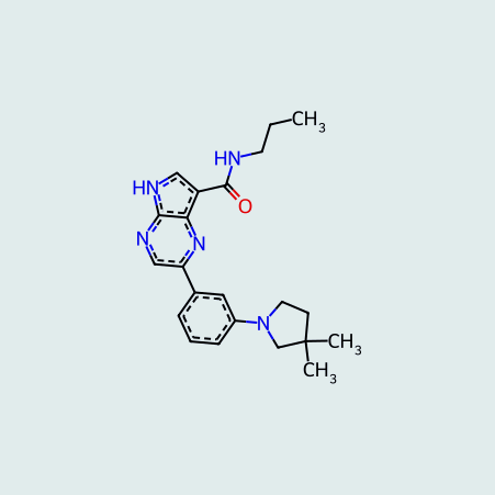 CCCNC(=O)c1c[nH]c2ncc(-c3cccc(N4CCC(C)(C)C4)c3)nc12